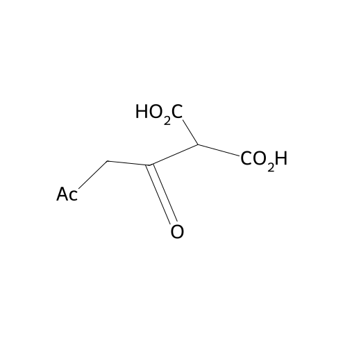 CC(=O)CC(=O)C(C(=O)O)C(=O)O